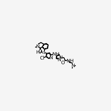 CN(C)CCNC(=O)Cn1cc(Nc2cc([AsH]c3cccc4c3C(=O)N(C)CC4)c(Cl)cn2)cn1